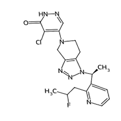 CC(F)Cc1ncccc1[C@H](C)n1nnc2c1CCN(c1cn[nH]c(=O)c1Cl)C2